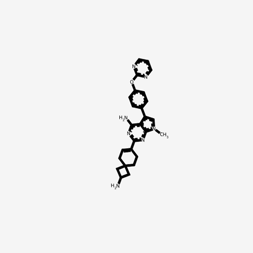 Cn1cc(-c2ccc(Oc3ncccn3)cc2)c2c(N)nc(C3=CCC4(CC3)CC(N)C4)nc21